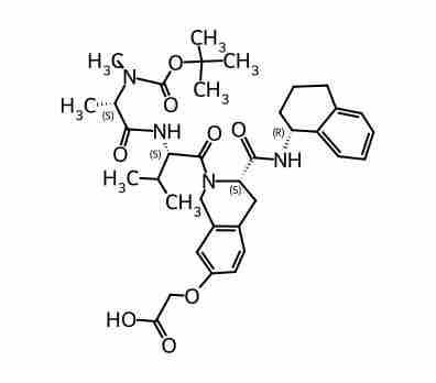 CC(C)[C@H](NC(=O)[C@H](C)N(C)C(=O)OC(C)(C)C)C(=O)N1Cc2cc(OCC(=O)O)ccc2C[C@H]1C(=O)N[C@@H]1CCCc2ccccc21